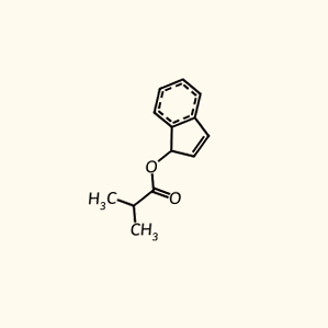 CC(C)C(=O)OC1C=Cc2ccccc21